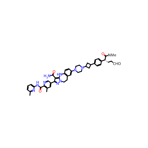 CNC(=O)[C@H](CCC=O)c1ccc(C2CC(N3CCN(c4ccc5c(c4)CCn4nc(-c6cnc(C(=O)Nc7cccc(C)n7)c(C)c6)c(C(N)=O)c4N5)CC3)C2)cc1